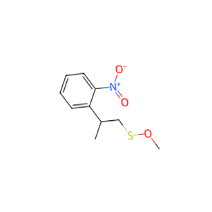 COSCC(C)c1ccccc1[N+](=O)[O-]